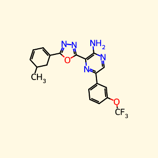 CC1C=CC=C(c2nnc(-c3nc(-c4cccc(OC(F)(F)F)c4)cnc3N)o2)C1